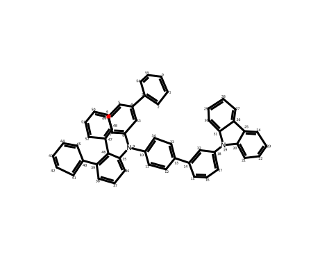 c1ccc(-c2cccc(N(c3ccc(-c4cccc(-n5c6ccccc6c6ccccc65)c4)cc3)c3cccc(-c4ccccc4)c3-c3ccccc3)c2)cc1